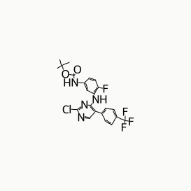 CC(C)(C)OC(=O)Nc1ccc(F)c(Nc2nc(Cl)ncc2-c2ccc(C(F)(F)F)cc2)c1